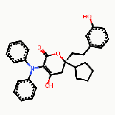 O=C1O[C@](CCc2cccc(O)c2)(C2CCCC2)CC(O)=C1N(c1ccccc1)c1ccccc1